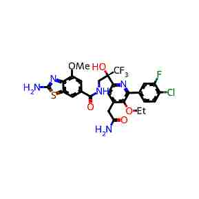 CCOc1c(CC(N)=O)cc([C@@](O)(CNC(=O)c2cc(OC)c3nc(N)sc3c2)C(F)(F)F)nc1-c1ccc(Cl)c(F)c1